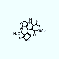 COC(=O)C1=C(C(F)F)NC2=C(C(=O)OC2)[C@@H]1c1cncc(F)c1[C@@H](C)F